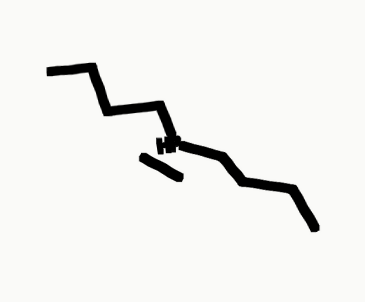 CC.CCCCPCCCC